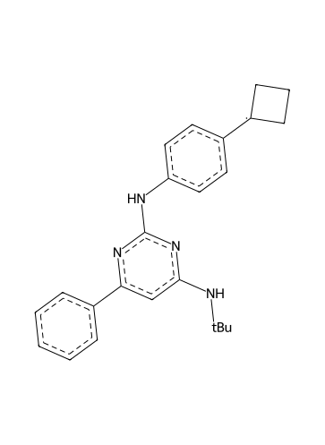 CC(C)(C)Nc1cc(-c2ccccc2)nc(Nc2ccc([C]3CCC3)cc2)n1